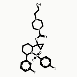 O=C(OC1(C2CCCC(c3cccc(F)c3)N2S(=O)(=O)c2ccc(Cl)cc2)CC1)N1CCN(CCO)CC1